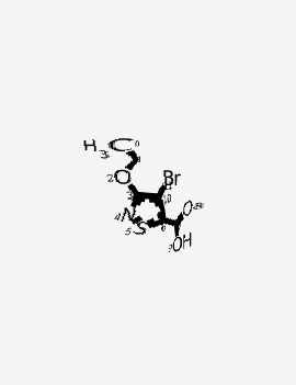 CCOc1nsc(C(=O)O)c1Br